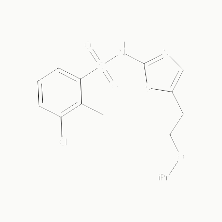 Cc1c(Cl)cccc1S(=O)(=O)Nc1ncc(CCOC(C)C)s1